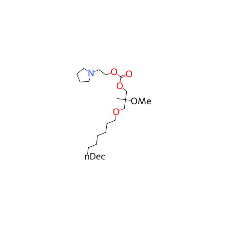 CCCCCCCCCCCCCCCCOCC(C)(COC(=O)OCCN1CCCC1)OC